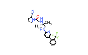 CC(C)(CNc1ccc(-c2ccccc2C(F)(F)F)cn1)NCC(=O)N1CCCC1C#N